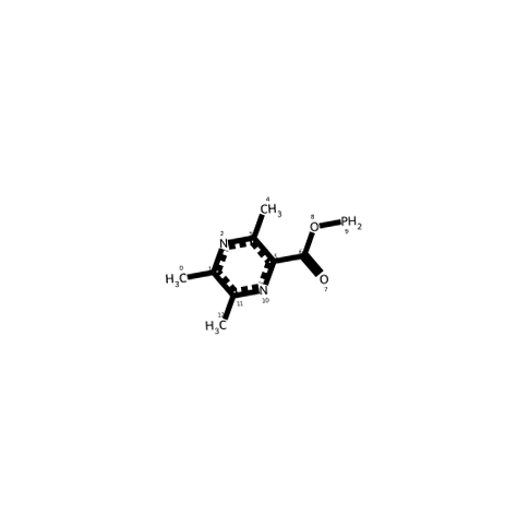 Cc1nc(C)c(C(=O)OP)nc1C